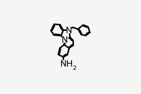 Nc1ccc2c(ccc3n(Cc4ccccc4)c4ccccc4[n+]23)c1